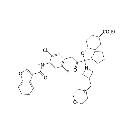 CCOC(=O)[C@H]1CC[C@H](OC(C(=O)Cc2cc(Cl)c(NC(=O)c3coc4ccccc34)cc2F)(N2CCCC2)N2CC(CN3CCOCC3)C2)CC1